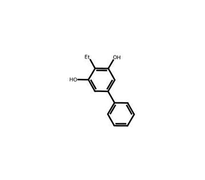 CCc1c(O)cc(-c2ccccc2)cc1O